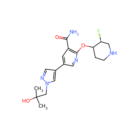 CC(C)(O)Cn1cc(-c2cnc(OC3CCNC[C@@H]3F)c(C(N)=O)c2)cn1